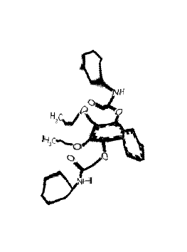 CCOc1c(OCC)c(OC(=O)NC2CCCCC2)c2ccccc2c1OC(=O)NC1CCCCC1